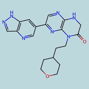 O=C1CNc2ncc(-c3cnc4cn[nH]c4c3)nc2N1CCC1CCOCC1